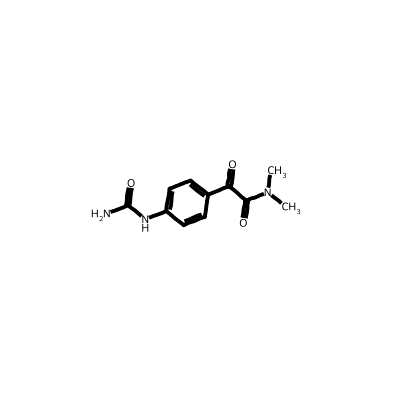 CN(C)C(=O)C(=O)c1ccc(NC(N)=O)cc1